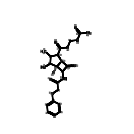 CC1C(O)[C@@H]2C(NC(=O)COc3ccccc3)C(=O)N2C1C(=O)OCOC(=O)C(C)(C)C